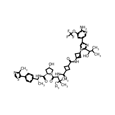 Cc1ncsc1-c1ccc([C@@H](C)NC(=O)[C@H]2C[C@H](O)CN2C(=O)[C@H](NC(=O)C2CC(C(=O)NC34CC(n5cc(-c6cnc(N)c(OC(F)(F)F)c6)nc5C(O)C(C)C)(C3)C4)C2)C(C)(C)C)cc1